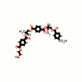 CCC(C)(COC(=O)c1ccc(C(=O)OC(C)(CC)COC(=O)c2ccc(C(=O)O)cc2)cc1)OC(=O)c1ccc(C(=O)OCCO)cc1